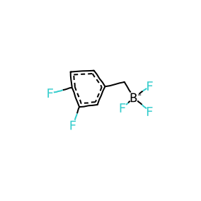 Fc1ccc(C[B-](F)(F)F)cc1F